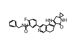 O=C(NCc1ccccc1)c1cc(-c2cc3c(cn2)CCc2c-3[nH]c3c2C(=O)NC2(CC2)C3)ccc1F